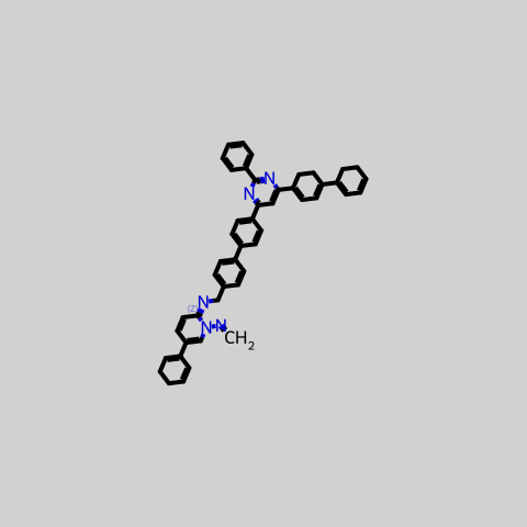 C=Nn1cc(C2=CCCC=C2)cc/c1=N/Cc1ccc(-c2ccc(-c3cc(C4=CC=C(C5=CC=CCC5)CC4)nc(-c4ccccc4)n3)cc2)cc1